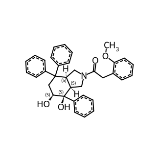 COc1ccccc1CC(=O)N1C[C@@H]2[C@H](C1)C(c1ccccc1)(c1ccccc1)C[C@H](O)[C@@]2(O)c1ccccc1